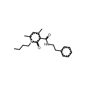 CCCCn1c(C)cc(C)c(C(=O)NCCc2ccccc2)c1=O